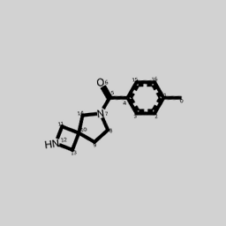 Cc1ccc(C(=O)N2CCC3(CNC3)C2)cc1